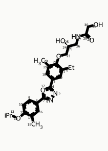 CCc1cc(-c2nnc(-c3ccc(OC(C)C)c(C)c3)o2)cc(C)c1OC[C@H](O)CNC(=O)CO